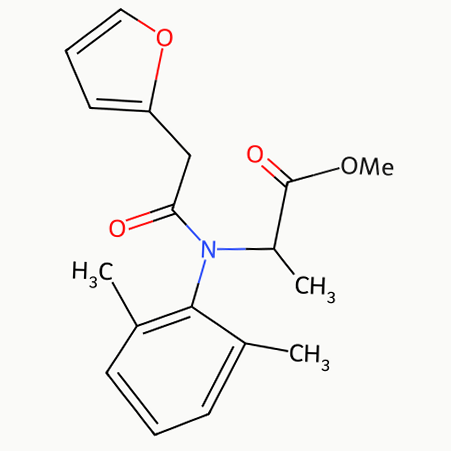 COC(=O)C(C)N(C(=O)Cc1ccco1)c1c(C)cccc1C